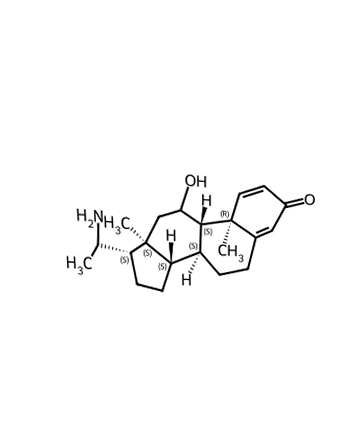 CC(N)[C@H]1CC[C@H]2[C@@H]3CCC4=CC(=O)C=C[C@]4(C)[C@H]3C(O)C[C@]12C